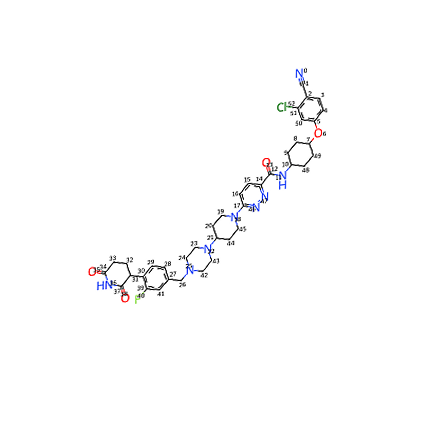 N#Cc1ccc(OC2CCC(NC(=O)c3ccc(N4CCC(N5CCN(Cc6ccc(C7CCC(=O)NC7=O)c(F)c6)CC5)CC4)nn3)CC2)cc1Cl